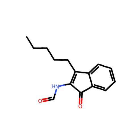 CCCCCC1=C(NC=O)C(=O)c2ccccc21